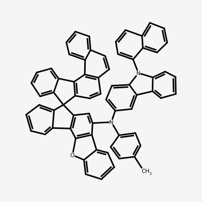 Cc1ccc(N(c2ccc3c(c2)c2ccccc2n3-c2cccc3ccccc23)c2cc3c(c4oc5ccccc5c24)-c2ccccc2C32c3ccccc3-c3c2ccc2ccc4ccccc4c32)cc1